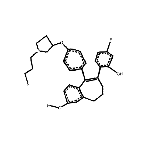 Oc1cc(F)ccc1C1=C(c2ccc(OC3CCP(CCCF)C3)cc2)c2ccc(OF)cc2CCC1